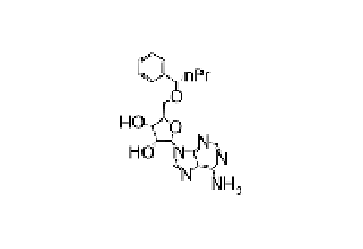 CCC[C@H](OC[C@H]1O[C@@H](n2cnc3c(N)ncnc32)[C@H](O)[C@@H]1O)c1ccccc1